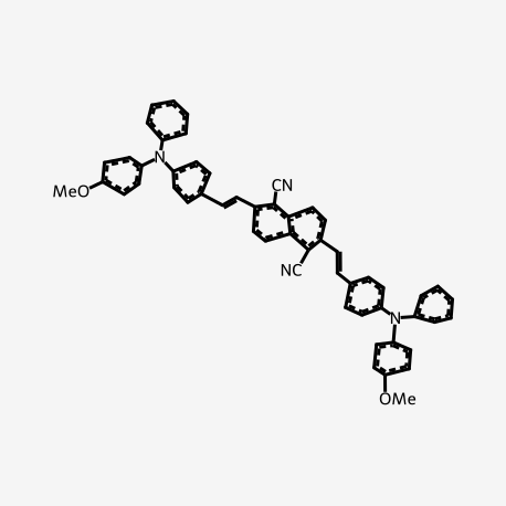 COc1ccc(N(c2ccccc2)c2ccc(C=Cc3ccc4c(C#N)c(C=Cc5ccc(N(c6ccccc6)c6ccc(OC)cc6)cc5)ccc4c3C#N)cc2)cc1